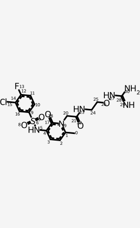 Cc1ccc(NS(=O)(=O)c2ccc(F)c(Cl)c2)c(=O)n1CC(=O)NCCONC(=N)N